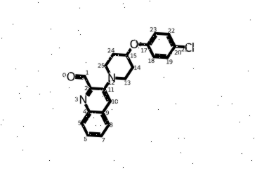 O=Cc1nc2ccccc2cc1N1CCC(Oc2ccc(Cl)cc2)CC1